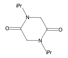 CC(C)N1CC(=O)N(C(C)C)CC1=O